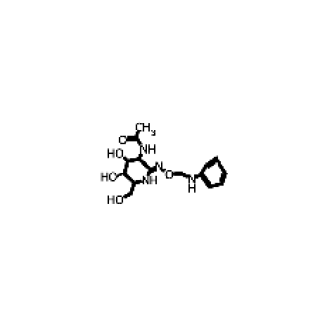 CC(=O)NC1/C(=N/OCNc2ccccc2)NC(CO)[C@@H](O)C1O